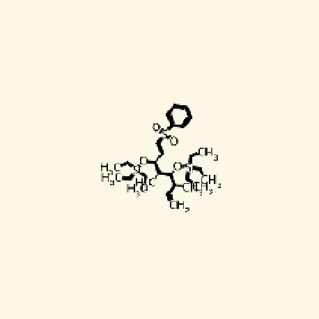 C=C[C@H](C)[C@H](O[Si](CC)(CC)CC)[C@H](C)[C@H](CCS(=O)(=O)c1ccccc1)O[Si](CC)(CC)CC